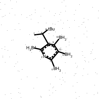 Bc1nc(B)c(C(C)C(C)(C)C)c(B)c1B